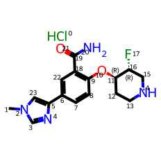 Cl.Cn1cnc(-c2ccc(O[C@@H]3CCNC[C@H]3F)c(C(N)=O)c2)c1